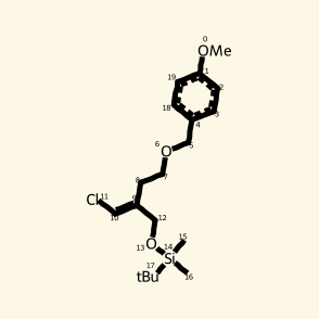 COc1ccc(COCC/C(=C\Cl)CO[Si](C)(C)C(C)(C)C)cc1